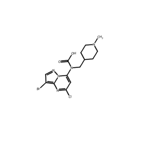 CN1CCC(CN(C(=O)O)c2cc(Cl)nc3c(Br)cnn23)CC1